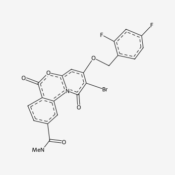 CNC(=O)c1ccc2c(=O)oc3cc(OCc4ccc(F)cc4F)c(Br)c(=O)n3c2c1